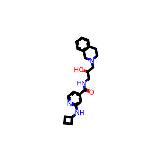 O=C(NCC(O)CN1CCc2ccccc2C1)c1ccnc(NC2CCC2)c1